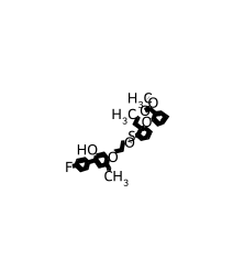 CCCc1c(Oc2ccccc2C(=O)OC)cccc1SOCCCOc1cc(O)c(-c2ccc(F)cc2)cc1CC